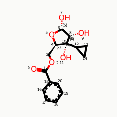 O=C(OC[C@H]1O[C@H](O)[C@H](O)[C@@]1(O)C1CC1)c1ccccc1